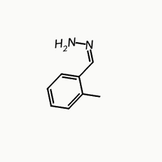 Cc1ccccc1/C=N\N